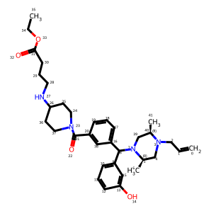 C=CCN1C[C@@H](C)N(C(c2cccc(O)c2)c2cccc(C(=O)N3CCC(NCCCC(=O)OCC)CC3)c2)C[C@H]1C